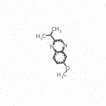 COc1ccc2nc(C(C)C)cnc2c1